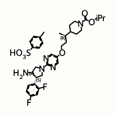 CC(C)OC(=O)N1CCC([C@H](C)CCOc2cnc(N3C[C@H](c4ccc(F)cc4F)[C@@H](N)C3)nc2)CC1.Cc1ccc(S(=O)(=O)O)cc1